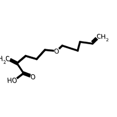 C=CCCCOCCCC(=C)C(=O)O